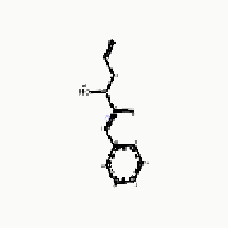 C=CCC(O)/C(C)=C/c1ccccc1